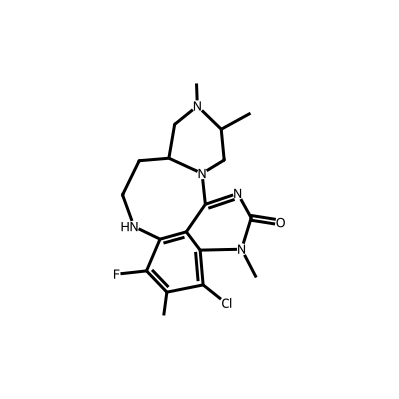 Cc1c(F)c2c3c(nc(=O)n(C)c3c1Cl)N1CC(C)N(C)CC1CCN2